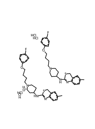 Cc1ccc2c(c1)CSC(NC1CCN(CCCCOc3ccc(F)cc3)CC1)=N2.Cc1ccc2c(c1)CSC(NC1CCN(CCCCOc3ccc(F)cc3)CC1)=N2.Cl.Cl.Cl.Cl.O